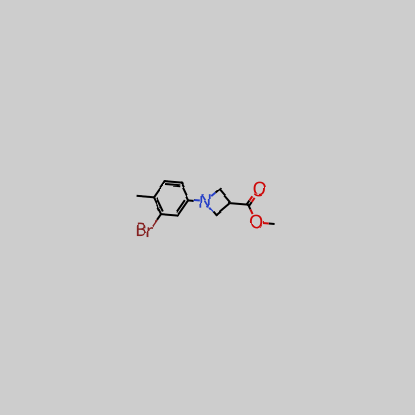 COC(=O)C1CN(c2ccc(C)c(Br)c2)C1